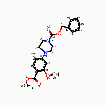 COC(=O)c1cc(F)c(N2CCN(C(=O)OCc3ccccc3)CC2)cc1OC